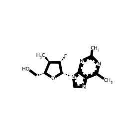 Cc1nc(C)c2ncn([C@@H]3O[C@H](CO)[C@@H](C)[C@@H]3F)c2n1